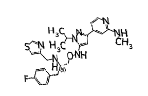 CNc1cc(-c2cc(NOC[C@H](Cc3ccc(F)cc3)NCc3cscn3)n(C(C)C)n2)ccn1